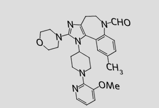 COc1cccnc1N1CCC(n2c(N3CCOCC3)nc3c2-c2cc(C)ccc2N(C=O)CC3)CC1